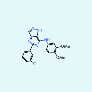 COc1ccc(Nc2nc(-c3cccc(Cl)c3)nc3cn[nH]c23)cc1OC